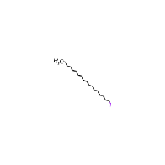 CCCCC=CC=CCCCCCCCCCCI